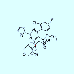 COC(=O)c1c(CN2C3COC[C@H]2CC(CC(=O)O)C3)nc(-c2nccs2)nc1-c1ccc(F)cc1Cl